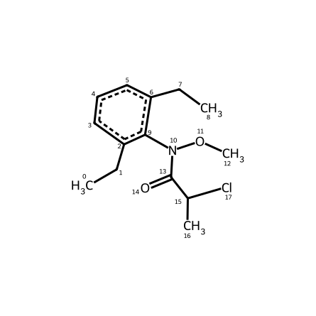 CCc1cccc(CC)c1N(OC)C(=O)C(C)Cl